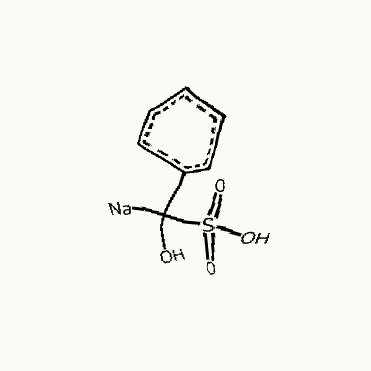 O=S(=O)(O)[C](O)([Na])c1ccccc1